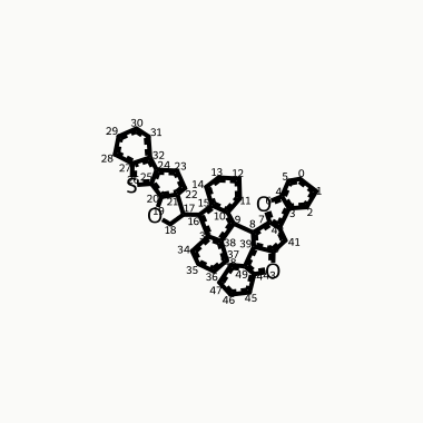 c1ccc2c(c1)oc1c(-c3c4ccccc4c(C4COc5c4ccc4c5sc5ccccc54)c4ccccc34)c3c(cc12)oc1ccccc13